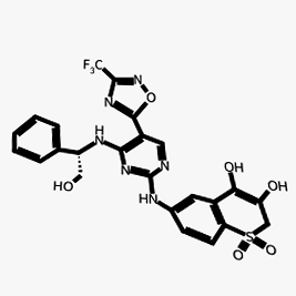 O=S1(=O)CC(O)=C(O)c2cc(Nc3ncc(-c4nc(C(F)(F)F)no4)c(N[C@H](CO)c4ccccc4)n3)ccc21